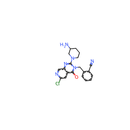 N#Cc1ccccc1Cn1c(N2CCCC(N)C2)nc2cnc(Cl)cc2c1=O